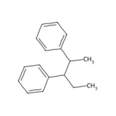 CCC(c1ccccc1)C(C)c1ccccc1